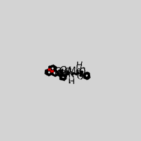 COC(=O)C1=C(C(=O)NCCNS(=O)(=O)c2ccccc2)C2C=CC1(C(Cc1ccccc1)Nc1ccccc1)O2